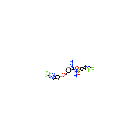 O=S(=O)(Nc1c[nH]c2ccc(COCC3Cc4cn(CC(F)(F)F)nc4C3)cc12)C1CC2(C1)CN(CC(F)(F)F)C2